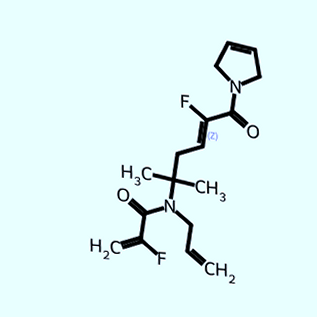 C=CCN(C(=O)C(=C)F)C(C)(C)C/C=C(\F)C(=O)N1CC=CC1